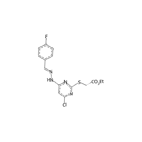 CCOC(=O)CSc1nc(Cl)cc(N/N=C/c2ccc(F)cc2)n1